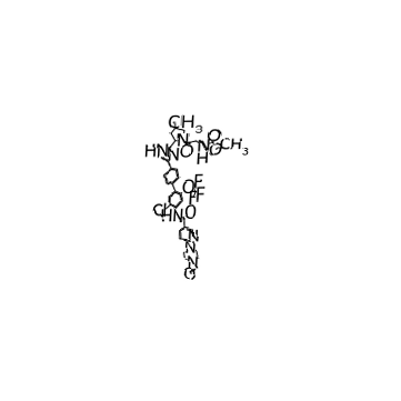 COC(=O)NCC(=O)N1CC(C)CC1c1nc(-c2ccc(-c3cc(Cl)c(NC(=O)c4ccc(N5CCN(C=O)CC5)nc4)cc3OC(F)(F)F)cc2)c[nH]1